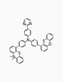 C[Si]1(C)c2ccccc2Sc2c(-c3ccc(N(c4ccc(-c5ncccn5)cc4)c4ccc(-c5cccc6c5Sc5ccccc5O6)cc4)cc3)cccc21